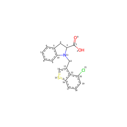 O=C(O)C1Cc2ccccc2N1Cc1csc2cccc(Cl)c12